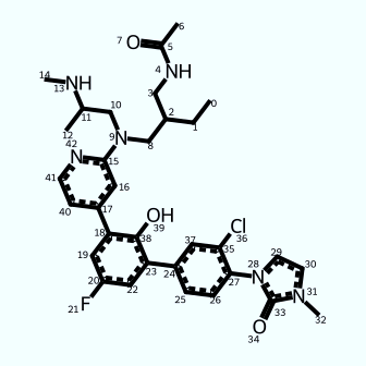 CCC(CNC(C)=O)CN(CC(C)NC)c1cc(-c2cc(F)cc(-c3ccc(-n4ccn(C)c4=O)c(Cl)c3)c2O)ccn1